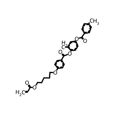 C=CC(=O)OCCCCCOc1ccc(C(=O)Oc2ccc(OC(=O)c3ccc(C)cc3)cc2C)cc1